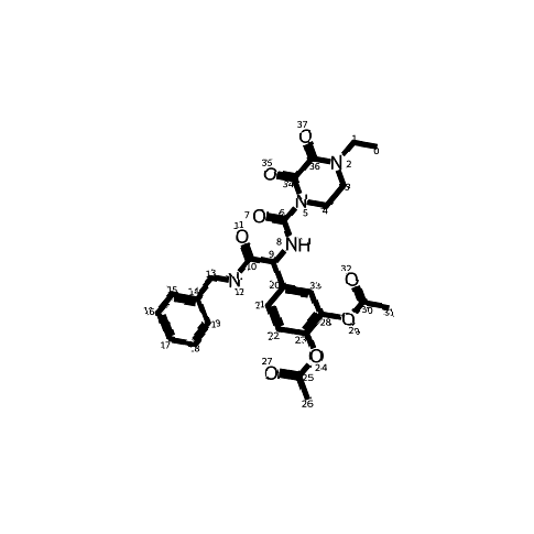 CCN1CCN(C(=O)NC(C(=O)[N]Cc2ccccc2)c2ccc(OC(C)=O)c(OC(C)=O)c2)C(=O)C1=O